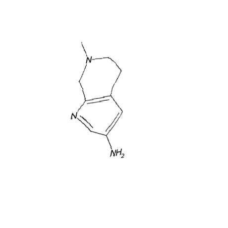 CN1CCc2cc(N)cnc2C1